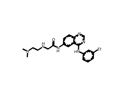 CCc1cccc(Nc2ncnc3ccc(NC(=O)CNCCN(C)C)cc23)c1